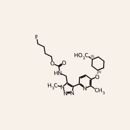 Cc1nc(-c2nnn(C)c2CNC(=O)OCCCCF)ccc1O[C@H]1CCC[C@H](C(=O)O)C1